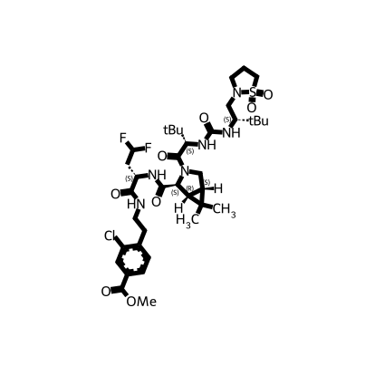 COC(=O)c1ccc(CCNC(=O)[C@H](CC(F)F)NC(=O)[C@@H]2[C@@H]3[C@H](CN2C(=O)[C@@H](NC(=O)N[C@H](CN2CCCS2(=O)=O)C(C)(C)C)C(C)(C)C)C3(C)C)c(Cl)c1